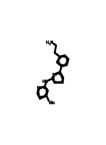 CC(C)(C)c1ccnc(Nc2cccc(-c3cccc(CCN)c3)n2)c1